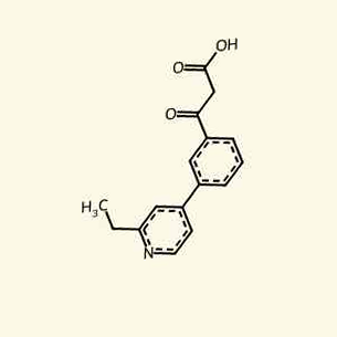 CCc1cc(-c2cccc(C(=O)CC(=O)O)c2)ccn1